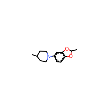 CC1CCN(c2ccc3c(c2)OC(C)O3)CC1